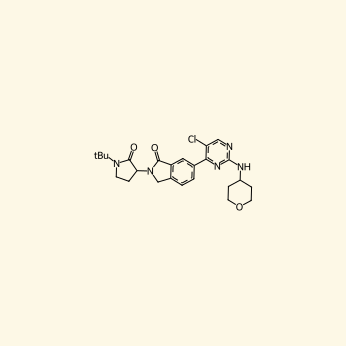 CC(C)(C)N1CCC(N2Cc3ccc(-c4nc(NC5CCOCC5)ncc4Cl)cc3C2=O)C1=O